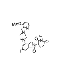 COc1cccnc1CN1CCN(c2cc(F)cc3c2CN(C2CCC(=O)NC2=O)C3=O)CC1